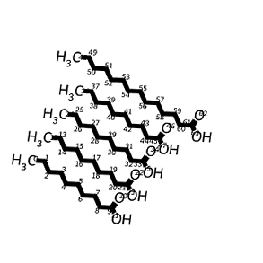 CCCCCCCCCC(=O)O.CCCCCCCCCC(=O)O.CCCCCCCCCC(=O)O.CCCCCCCCCC(=O)O.CCCCCCCCCCCCCC(=O)O